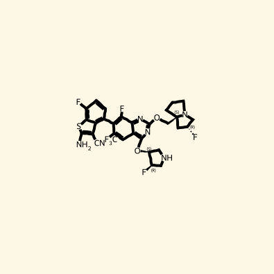 N#Cc1c(N)sc2c(F)ccc(-c3c(C(F)(F)F)cc4c(O[C@H]5CNC[C@H]5F)nc(OC[C@@]56CCCN5C[C@H](F)C6)nc4c3F)c12